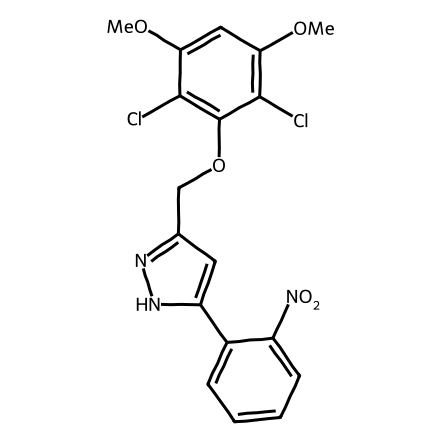 COc1cc(OC)c(Cl)c(OCc2cc(-c3ccccc3[N+](=O)[O-])[nH]n2)c1Cl